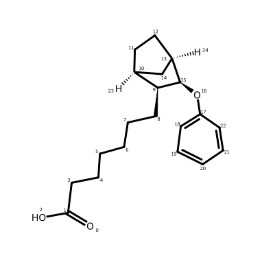 O=C(O)CCCCCC[C@H]1[C@H]2CC[C@H](C2)[C@H]1Oc1ccccc1